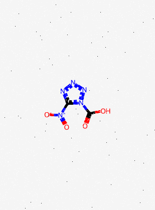 O=C(O)n1nnnc1[N+](=O)[O-]